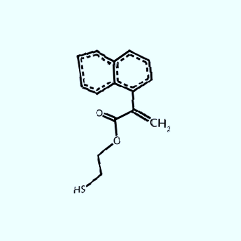 C=C(C(=O)OCCS)c1cccc2ccccc12